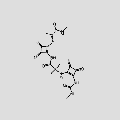 CNC(=O)Nc1c(NC(C)(C)C(=O)Nc2c(/N=C(\C)C(=O)NC)c(=O)c2=O)c(=O)c1=O